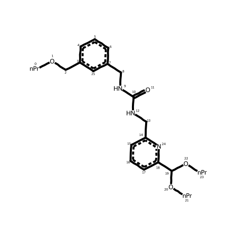 CCCOCc1cccc(CNC(=O)NCc2cccc(C(OCCC)OCCC)n2)c1